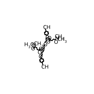 C#Cc1ccc(OCC(COCCOCC(COc2ccc(C#C)cc2)OC(=O)CCC(=O)N(C)C)OC(=O)CCC(=O)N(C)C)cc1